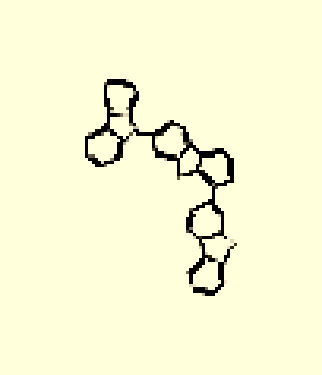 C1=CC2c3ccccc3OC2C=C1c1cccc2c1sc1cc(-n3c4ccccc4c4ccccc43)ccc12